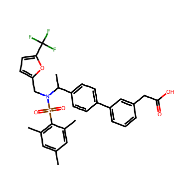 Cc1cc(C)c(S(=O)(=O)N(Cc2ccc(C(F)(F)F)o2)C(C)c2ccc(-c3cccc(CC(=O)O)c3)cc2)c(C)c1